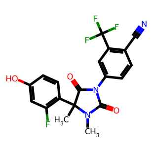 CN1C(=O)N(c2ccc(C#N)c(C(F)(F)F)c2)C(=O)C1(C)c1ccc(O)cc1F